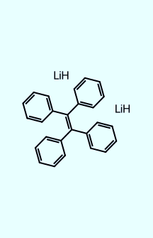 [LiH].[LiH].c1ccc(C(=C(c2ccccc2)c2ccccc2)c2ccccc2)cc1